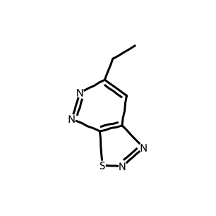 CCc1cc2nnsc2nn1